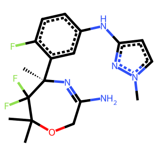 Cn1ccc(Nc2ccc(F)c([C@@]3(C)N=C(N)COC(C)(C)C3(F)F)c2)n1